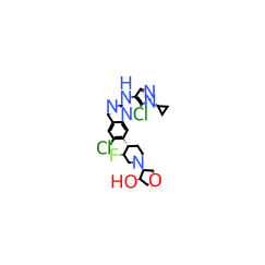 O[C@H]1COCC1N1CC[C@@H](c2cc3nc(Nc4cnn(C5CC5)c4Cl)ncc3cc2Cl)[C@H](F)C1